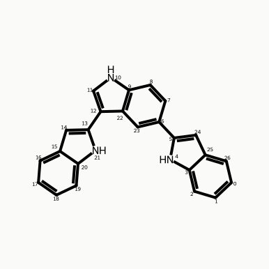 c1ccc2[nH]c(-c3ccc4[nH]cc(-c5cc6ccccc6[nH]5)c4c3)cc2c1